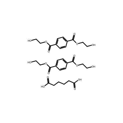 O=C(O)CCCCC(=O)O.O=C(OCCO)c1ccc(C(=O)OCCO)cc1.O=C(OCCO)c1ccc(C(=O)OCCO)cc1